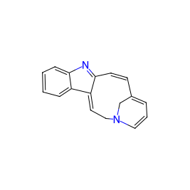 C1=CN2CC=C3C(=Nc4ccccc43)C=CC(=C1)C2